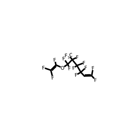 FC(F)=CC(F)(F)C(F)(F)C(F)(C(F)(F)F)C(F)(F)OC(F)=C(F)F